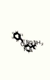 CC(C)(CN)c1ncnc(OCc2ccccc2)c1[N+](=O)[O-]